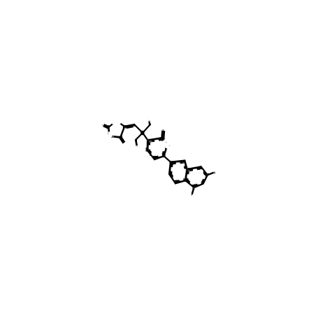 CCC(/C=C1/OC(=O)NC1=O)(CC)c1ccc(-c2ccc3c(F)cc(F)cc3c2)[nH]c1=O